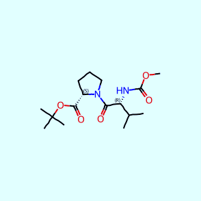 COC(=O)N[C@@H](C(=O)N1CCC[C@H]1C(=O)OC(C)(C)C)C(C)C